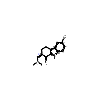 CN(C)/C=C1/CCc2c([nH]c3ccc(Br)cc23)C1=O